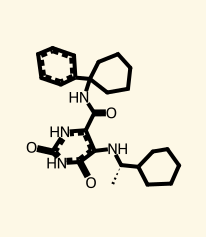 C[C@H](Nc1c(C(=O)NC2(c3ccccc3)CCCCC2)[nH]c(=O)[nH]c1=O)C1CCCCC1